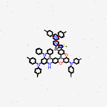 CSN1c2cc3c(cc2B2c4ccccc4N(c4ccccc4)c4cc(N(c5ccc(C)cc5)c5ccc(C)cc5)cc1c42)B1c2cc4c(cc2Oc2cc(N(c5ccc(C)cc5)c5ccc(C)cc5)cc(c21)O3)Nc1cc(N(c2ccc(C)cc2)c2ccc(C)cc2)cc2c1B4c1ccccc1N2c1ccccc1